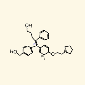 C[C@@H]1C=C(/C(=C(/CCCO)c2ccccc2)c2ccc(CO)cc2)C=CC1OCCN1CCCC1